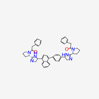 O=C(Cc1ccccc1)N1CCC[C@H]1C1=NCC(c2ccc(-c3ccc(C4CN=C([C@@H]5CCCN5C(=O)Cc5ccccc5)N4)c4ccccc34)cc2)N1